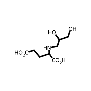 O=C(O)CCC(NCC(O)CO)C(=O)O